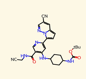 CC(C)(C)OC(=O)NC1CCC(Nc2cc(-c3ccc4cc(C#N)cnn34)ncc2C(=O)NCC#N)CC1